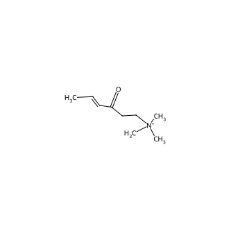 CC=CC(=O)CC[N+](C)(C)C